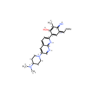 CN/C=C1/C=C(c2ccc3cc(N4CCC(N(C)C)CC4)cnc3n2)C(O)=C(C)C1=N